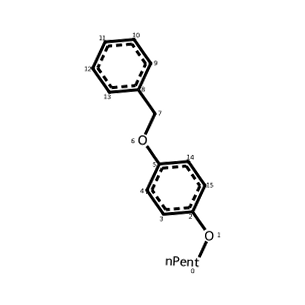 CCCCCOc1c[c]c(OCc2ccccc2)cc1